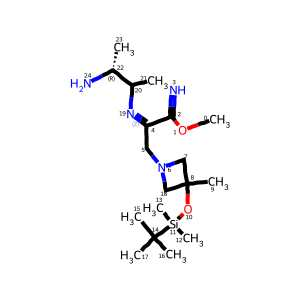 COC(=N)/C(CN1CC(C)(O[Si](C)(C)C(C)(C)C)C1)=N\C(C)[C@@H](C)N